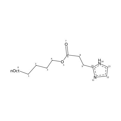 CCCCCCCCCCCCOC(=O)CCc1ncc[nH]1